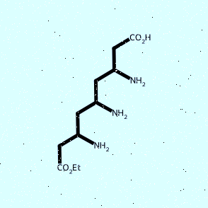 CCOC(=O)CC(N)CC(N)CC(N)CC(=O)O